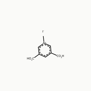 C[n+]1cc(C(=O)O)cc(C(=O)O)c1.[I-]